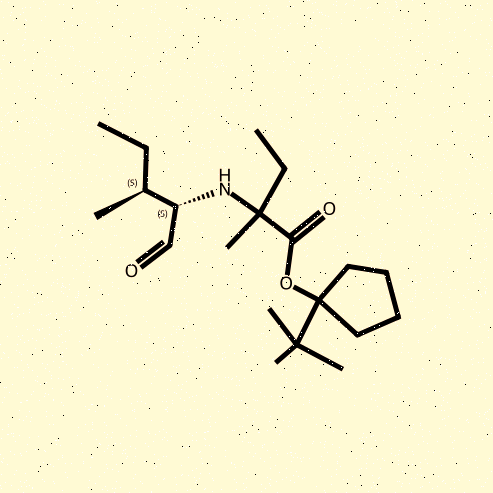 CC[C@H](C)[C@@H](C=O)NC(C)(CC)C(=O)OC1(C(C)(C)C)CCCC1